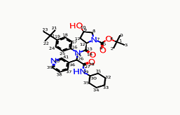 CC(C)(C)OC(=O)N1C[C@H](O)C[C@@H]1C(=O)N(c1ccc(C(C)(C)C)cc1)C(C(=O)NC1CCCCC1)c1cccnc1